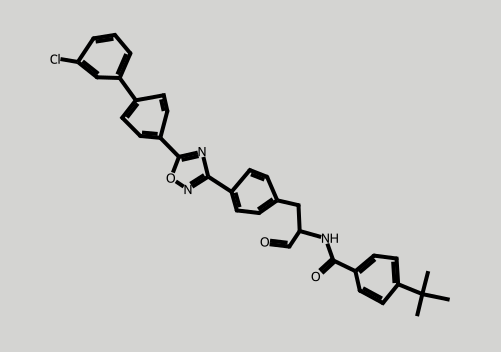 CC(C)(C)c1ccc(C(=O)NC(C=O)Cc2ccc(-c3noc(-c4ccc(-c5cccc(Cl)c5)cc4)n3)cc2)cc1